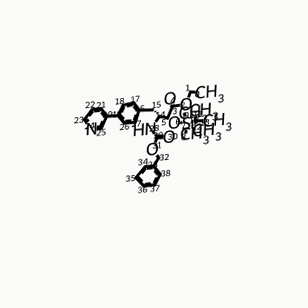 CCOC(=O)[C@@H](O[Si](C)(C)C(C)(C)C)[C@@H](Cc1ccc(-c2cccnc2)cc1)NC(=O)OCc1ccccc1